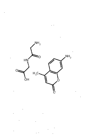 Cc1cc(=O)oc2cc(N)ccc12.NCC(=O)NCC(=O)O